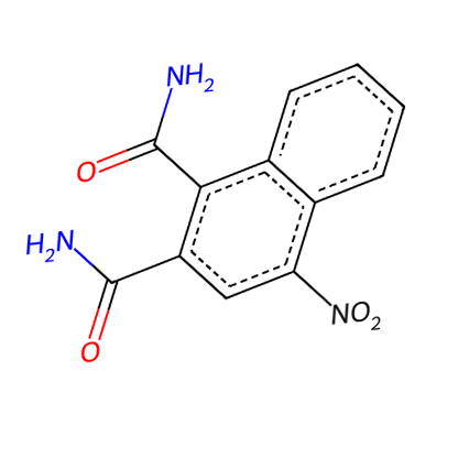 NC(=O)c1cc([N+](=O)[O-])c2ccccc2c1C(N)=O